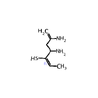 C=C(N)CC(N)/C(S)=C\C